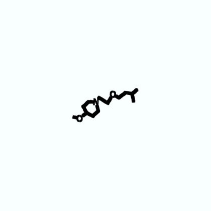 COC1CCN(CCOCCC(C)C)CC1